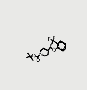 CC(C)(C)OC(=O)N1CCC(COc2ccccc2C(F)(F)F)CC1